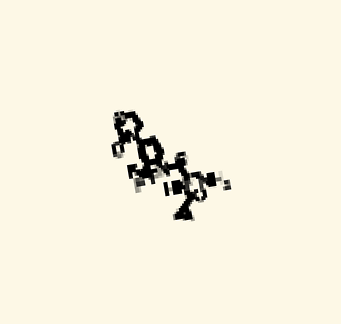 NC[C@H](NC(=O)C1CC1)C(=O)Nc1ccc(N2CCOCC2=O)cc1C(F)(F)F